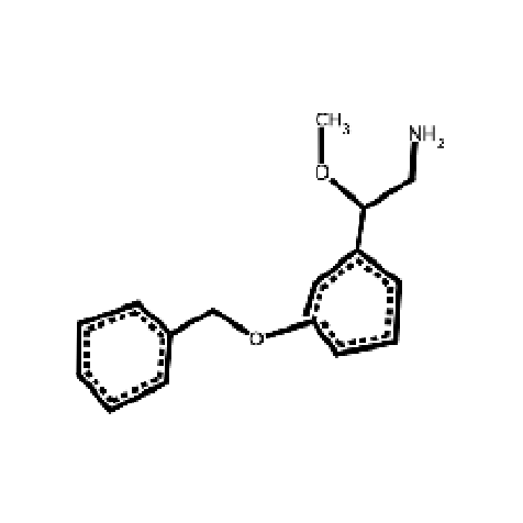 COC(CN)c1cccc(OCc2ccccc2)c1